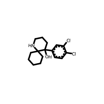 OC1(c2ccc(Cl)c(Cl)c2)CCCNC12CCCCC2